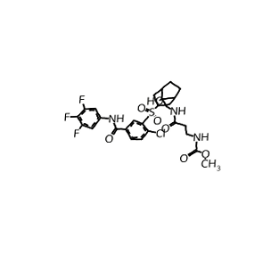 COC(=O)NCCC(=O)NCC1(O)C2CCC1CC(S(=O)(=O)c1cc(C(=O)Nc3cc(F)c(F)c(F)c3)ccc1Cl)C2